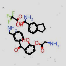 NC(=O)c1ccc2c(c1)CCC2.NCC(=O)Oc1cccc(C(=O)c2cccc(CN)c2)c1O.O=C(O)C(F)(F)F